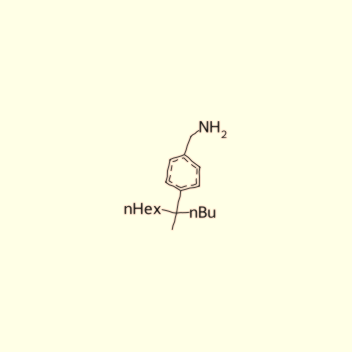 CCCCCCC(C)(CCCC)c1ccc(CN)cc1